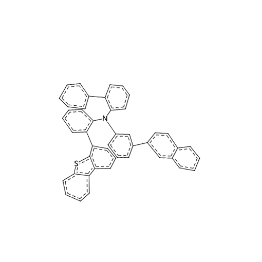 c1ccc(-c2ccccc2N(c2cccc(-c3ccc4ccccc4c3)c2)c2ccccc2-c2cccc3c2sc2ccccc23)cc1